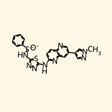 Cn1cc(-c2cnc3ccc(Nc4nnc(N[S+]([O-])c5ccccc5)s4)nc3c2)cn1